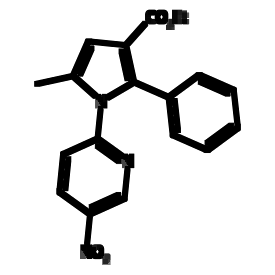 CCOC(=O)c1cc(C)n(-c2ccc([N+](=O)[O-])cn2)c1-c1ccccc1